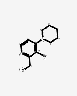 OCc1nccc(N2CCCCC2)c1Br